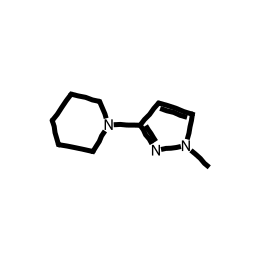 Cn1ccc(N2CCCCC2)n1